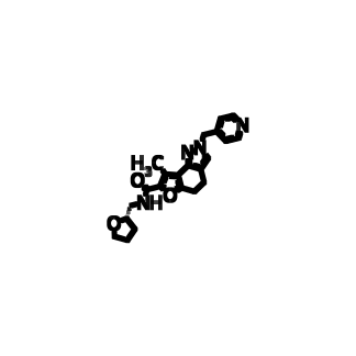 Cc1c(C(=O)NC[C@@H]2CCCO2)oc2c1-c1nn(Cc3ccncc3)cc1CC2